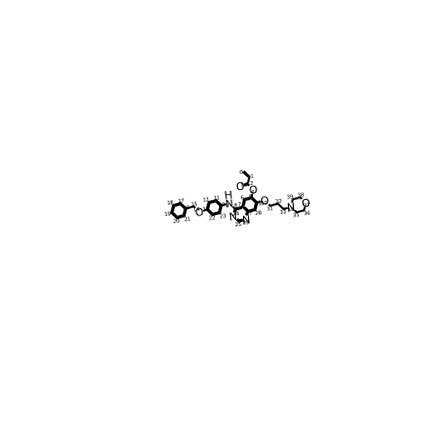 C=CC(=O)Oc1cc2c(Nc3ccc(OCc4ccccc4)cc3)ncnc2cc1OCCCN1CCOCC1